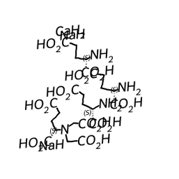 N[C@@H](CCC(=O)O)C(=O)O.N[C@@H](CCC(=O)O)C(=O)O.N[C@@H](CCC(=O)O)C(=O)O.O=C(O)CC[C@@H](C(=O)O)N(CC(=O)O)CC(=O)O.[CaH2].[NaH].[NaH]